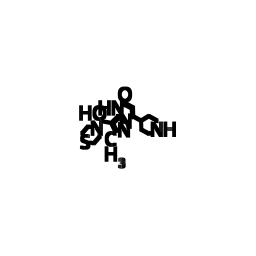 Cc1nn2c(C3CCNCC3)cc(=O)[nH]c2c1C(O)N1CCSCC1